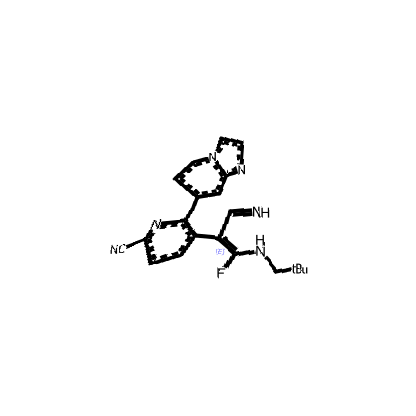 CC(C)(C)CN/C(F)=C(\C=N)c1ccc(C#N)nc1-c1ccn2ccnc2c1